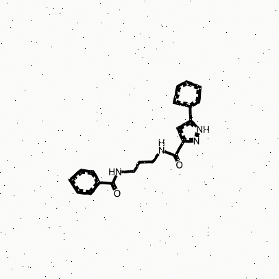 O=C(NCCCNC(=O)c1cc(-c2ccccc2)[nH]n1)c1ccccc1